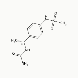 C[C@@H](NC(N)=S)c1ccc(NS(C)(=O)=O)cc1